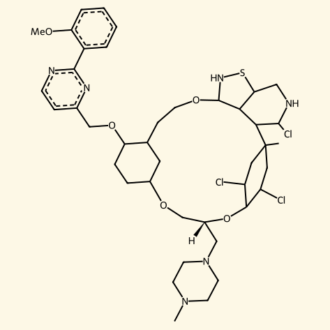 COc1ccccc1-c1nccc(COC2CCC3CC2CCOC2NSC4CNC(Cl)C(C24)C2(C)CC(Cl)C(O[C@H](CN4CCN(C)CC4)CO3)C(Cl)C2)n1